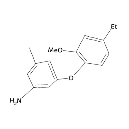 CCc1ccc(Oc2cc(C)cc(N)c2)c(OC)c1